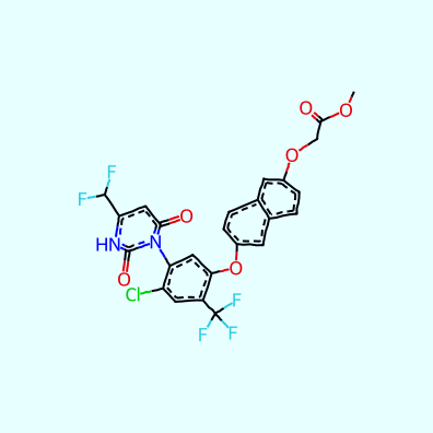 COC(=O)COc1ccc2cc(Oc3cc(-n4c(=O)cc(C(F)F)[nH]c4=O)c(Cl)cc3C(F)(F)F)ccc2c1